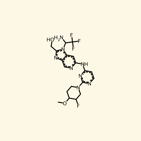 COC1CCN(c2nccc(Nc3cc4c(cn3)nc(CO)n4C(N)C(F)(F)F)n2)CC1F